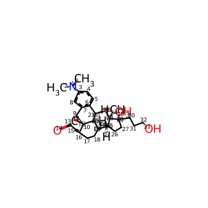 CN(C)c1ccc2c(c1)C[C@]13CCC(=O)C=C1CC[C@@H]1[C@@H]3[C@@H]2C[C@@]2(C)[C@H]1CC[C@@]2(O)CCCO